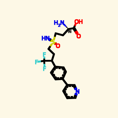 N=S(=O)(CCC(c1ccc(-c2cccnc2)cc1)C(F)(F)F)CC[C@H](N)C(=O)O